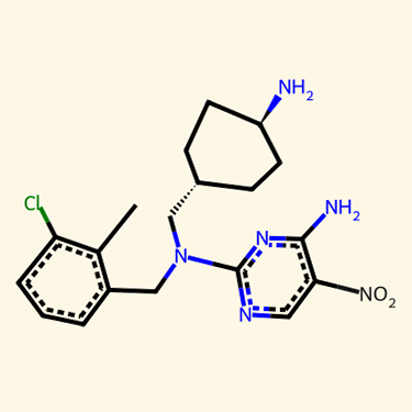 Cc1c(Cl)cccc1CN(C[C@H]1CC[C@H](N)CC1)c1ncc([N+](=O)[O-])c(N)n1